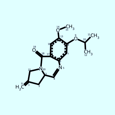 C=C1CC2C=Nc3cc(OC(C)C)c(OC)cc3C(=O)N2C1